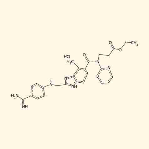 CCOC(=O)CCN(C(=O)c1ccc2[nH]c(CNc3ccc(C(=N)N)cc3)nc2c1C)c1ccccn1.Cl